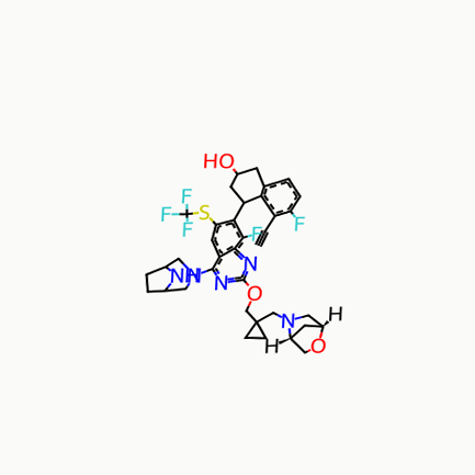 C#Cc1c(F)ccc2c1C(c1c(SC(F)(F)F)cc3c(N4CC5CCC(C4)N5)nc(OCC4(CN5C[C@H]6C[C@@H]5CO6)CC4)nc3c1F)CC(O)C2